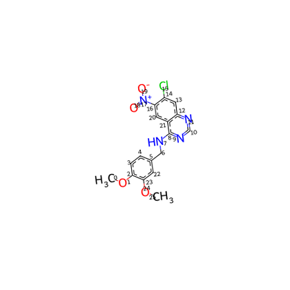 COc1ccc(CNc2ncnc3cc(Cl)c([N+](=O)[O-])cc23)cc1OC